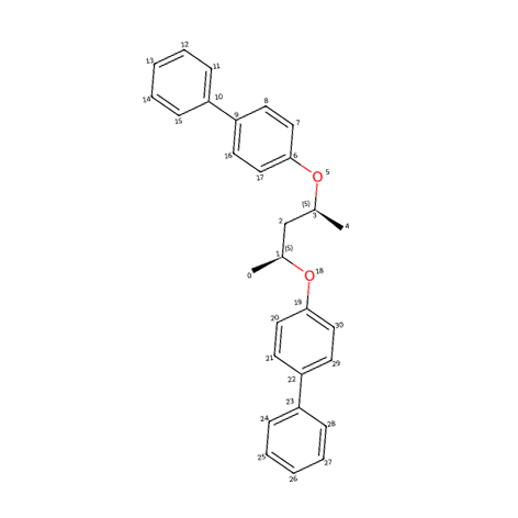 C[C@@H](C[C@H](C)Oc1ccc(-c2ccccc2)cc1)Oc1ccc(-c2ccccc2)cc1